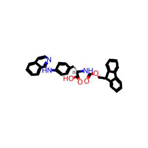 O=C(N[C@@H](Cc1ccc(Nc2nccc3ccccc23)cc1)C(=O)O)OCC1c2ccccc2-c2ccccc21